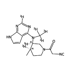 [2H]c1nc(N(C([2H])([2H])[2H])[C@@]2([2H])CN(C(=O)C[N+]#[C-])CC[C@@]2([2H])C)c2cc[nH]c2n1